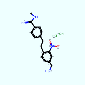 CNC(=N)c1ccc(CCc2ccc(CN)cc2[N+](=O)[O-])cc1.Cl.Cl